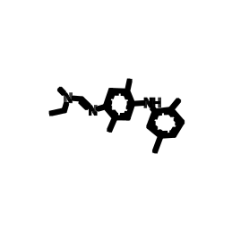 CCN(C)C=Nc1cc(C)c(Nc2cc(C)ccc2C)cc1C